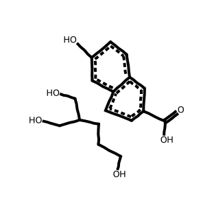 O=C(O)c1ccc2cc(O)ccc2c1.OCCCC(CO)CO